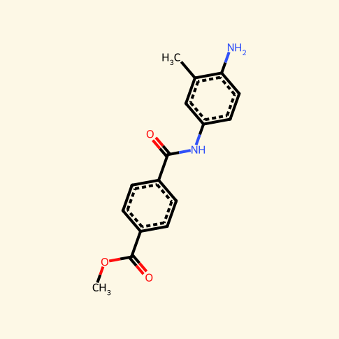 COC(=O)c1ccc(C(=O)Nc2ccc(N)c(C)c2)cc1